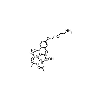 COC(=O)[C@H]1O[C@@H](Oc2cc(OCCOCCN)ccc2CO)[C@H](O)[C@@H](OC(C)=O)[C@@H]1OC(C)=O